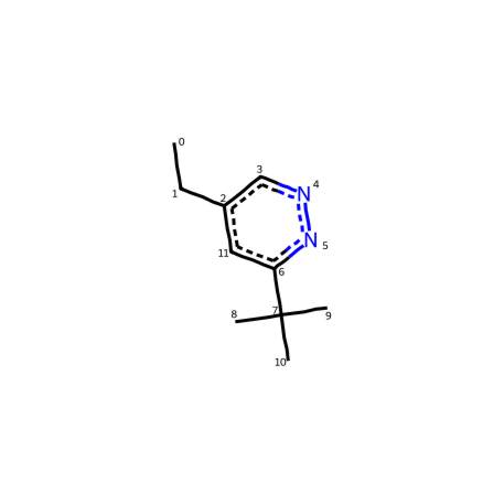 CCc1cnnc(C(C)(C)C)c1